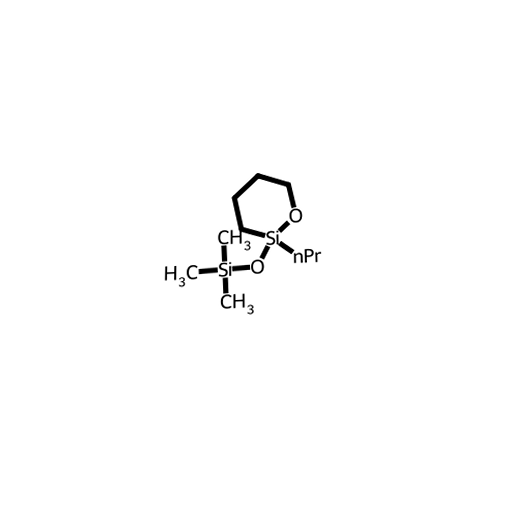 CCC[Si]1(O[Si](C)(C)C)CCCCO1